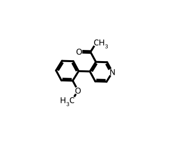 COc1ccccc1-c1ccncc1C(C)=O